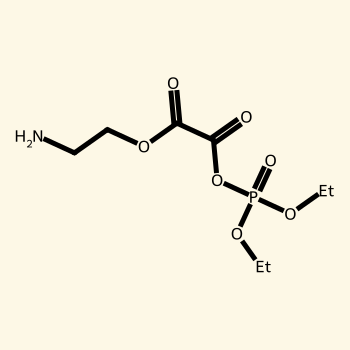 CCOP(=O)(OCC)OC(=O)C(=O)OCCN